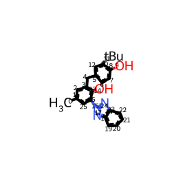 Cc1cc(Cc2ccc(O)c(C(C)(C)C)c2)c(O)c(-n2nc3ccccc3n2)c1